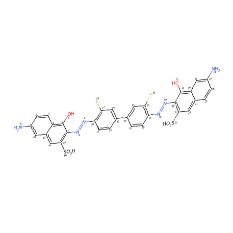 Nc1ccc2c(O)c(/N=N/c3ccc(-c4ccc(/N=N/c5c(S(=O)(=O)O)cc6ccc(N)cc6c5O)c(F)c4)cc3F)c(S(=O)(=O)O)cc2c1